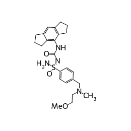 COCCN(C)Cc1ccc(S(N)(=O)=NC(=O)Nc2c3c(cc4c2CCC4)CCC3)cc1